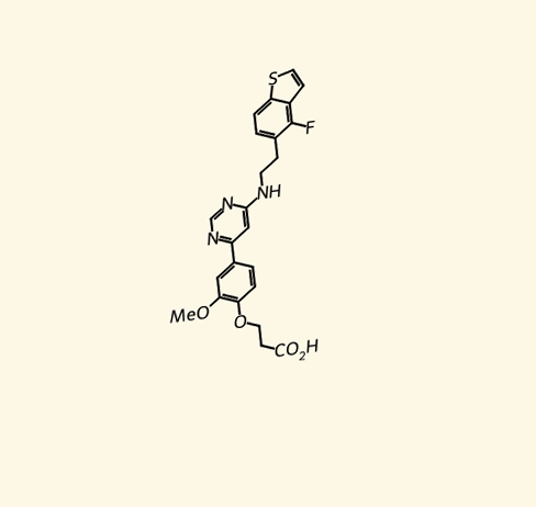 COc1cc(-c2cc(NCCc3ccc4sccc4c3F)ncn2)ccc1OCCC(=O)O